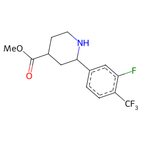 COC(=O)C1CCNC(c2ccc(C(F)(F)F)c(F)c2)C1